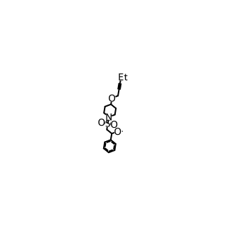 CCC#CCOC1CCN(S(=O)(=O)CC([O])c2ccccc2)CC1